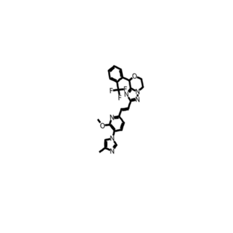 COc1nc(C=Cc2nc3n(n2)CCOC3c2ccccc2C(F)(F)F)ccc1-n1cnc(C)c1